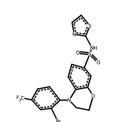 O=S(=O)(Nc1nccs1)c1ccc2c(c1)OCCN2c1ccc(C(F)(F)F)cc1Br